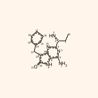 CCS(=N)c1nc(N)c2[nH]c(=O)n(Cc3ccccc3)c2n1